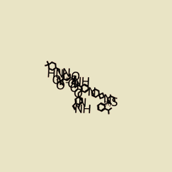 CC(C)c1ccccc1[C@@H]1CSCCN1C1CC2(CCN(c3ccc(C(=O)NS(=O)(=O)c4cnc(NCC5CCC(C)(C)CC5)c([N+](=O)[O-])c4)c(Oc4cnc5[nH]ccc5c4)c3)CC2)C1